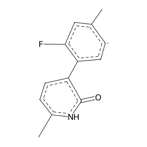 Cc1[c]cc(-c2ccc(C)[nH]c2=O)c(F)c1